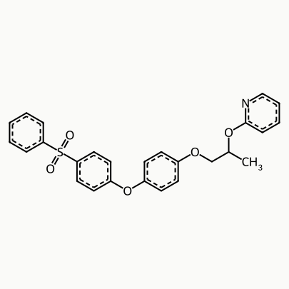 CC(COc1ccc(Oc2ccc(S(=O)(=O)c3ccccc3)cc2)cc1)Oc1ccccn1